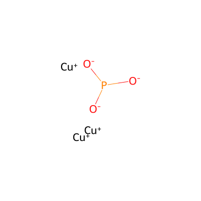 [Cu+].[Cu+].[Cu+].[O-]P([O-])[O-]